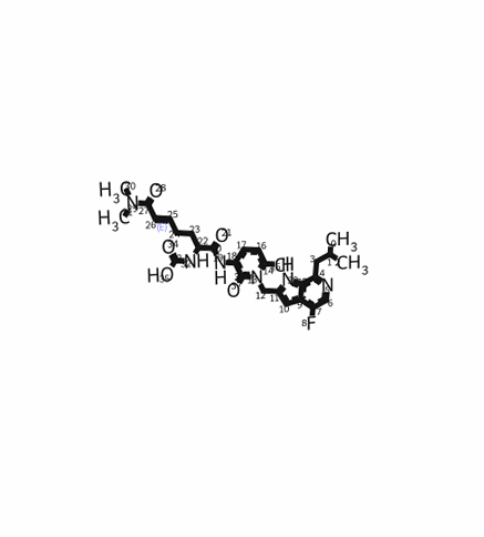 CC(C)Cc1ncc(F)c2cc(Cn3c(Cl)ccc(NC(=O)C(CC/C=C/C(=O)N(C)C)NC(=O)O)c3=O)[nH]c12